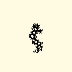 COc1cc(-c2ccc(C3CCCc4ccc([C@H](C5CC5)[C@H](C)C(=O)O)cc4O3)nc2)c(F)cn1